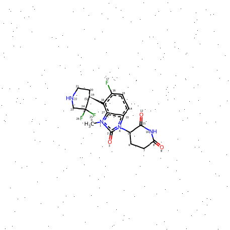 Cn1c(=O)n(C2CCC(=O)NC2=O)c2ccc(F)c([C@@H]3CCNCC3(F)F)c21